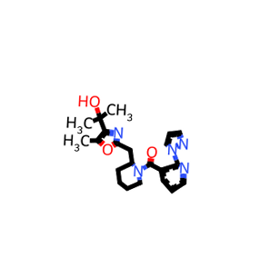 Cc1oc(CC2CCCCN2C(=O)c2cccnc2-n2cccn2)nc1C(C)(C)O